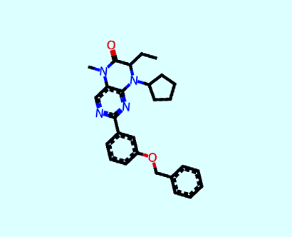 CCC1C(=O)N(C)c2cnc(-c3cccc(OCc4ccccc4)c3)nc2N1C1CCCC1